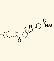 CNC(=O)c1ccc(-c2cn3c(n2)sc2cc(C(=O)NCCCn4nc(C)cc4C)ccc23)cc1